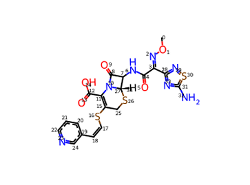 CON=C(C(=O)NC1C(=O)N2C(C(=O)O)=C(S/C=C\c3cccnc3)CS[C@@H]12)c1nsc(N)n1